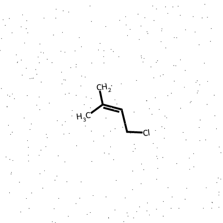 [CH2]C(C)=CCCl